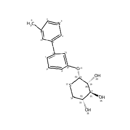 Cc1cncc(-c2cccc(O[C@H]3SC[C@@H](O)[C@H](O)[C@H]3O)c2)c1